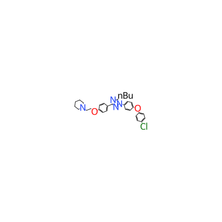 CCCCc1nc(-c2ccc(OCCN3CCCCC3)cc2)nn1-c1ccc(Oc2ccc(Cl)cc2)cc1